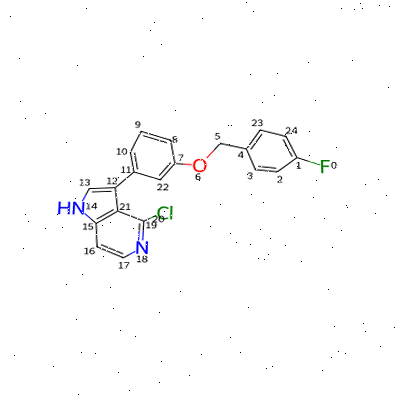 Fc1ccc(COc2cccc(-c3c[nH]c4ccnc(Cl)c34)c2)cc1